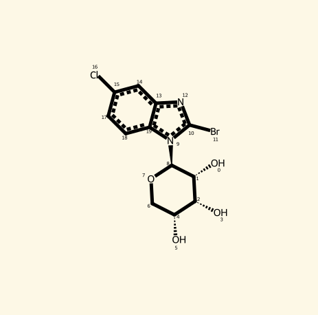 O[C@@H]1[C@H](O)[C@H](O)CO[C@H]1n1c(Br)nc2cc(Cl)ccc21